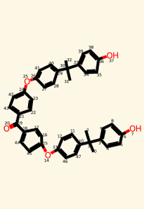 CC(C)(c1ccc(O)cc1)c1ccc(Oc2ccc(C(=O)c3ccc(Oc4ccc(C(C)(C)c5ccc(O)cc5)cc4)cc3)cc2)cc1